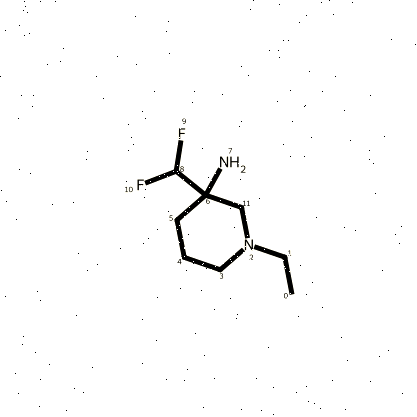 CCN1CCCC(N)(C(F)F)C1